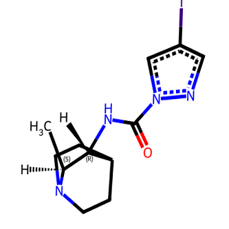 C[C@H]1[C@H](NC(=O)n2cc(I)cn2)C2CCN1CC2